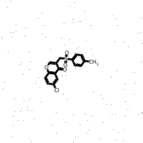 Cc1ccc(S(=O)(=O)Cc2coc3ccc(Cl)cc3c2=O)cc1